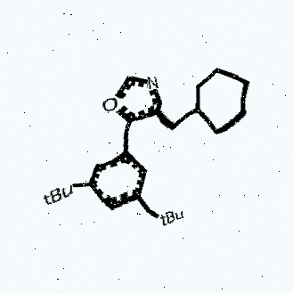 CC(C)(C)c1cc(-c2ocnc2CC2CCCCC2)cc(C(C)(C)C)c1